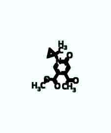 COC(=O)c1cn(C2(C)CC2)c(=O)cc1C(C)=O